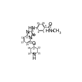 CNC(=O)c1ccc(Nc2nc3cccc(OC4CCNCC4)n3n2)cc1